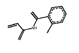 C=CC(=C)NC(=C)c1ccccc1C